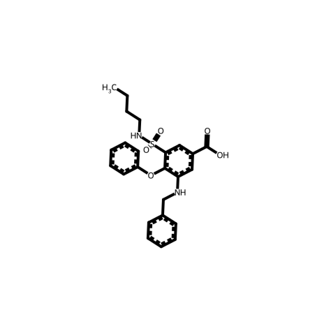 CCCCNS(=O)(=O)c1cc(C(=O)O)cc(NCc2ccccc2)c1Oc1ccccc1